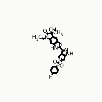 CCN1C(=O)C(C)(C)c2cc3nc(-c4n[nH]c5c4CN(S(=O)(=O)c4ccc(F)cc4)C5)[nH]c3cc21